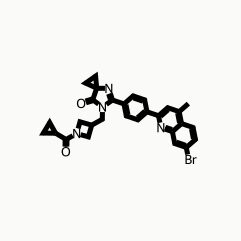 Cc1cc(-c2ccc(C3=NC4(CC4)C(=O)N3CC3CN(C(=O)C4CC4)C3)cc2)nc2cc(Br)ccc12